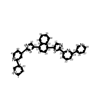 c1cncc(-c2cc(-c3ncc(-c4ccc(-c5cnc(-c6cccc(-c7cccnc7)n6)s5)c5ccccc45)s3)ccn2)c1